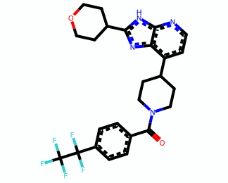 O=C(c1ccc(C(F)(F)C(F)(F)F)cc1)N1CCC(c2ccnc3[nH]c(C4CCOCC4)nc23)CC1